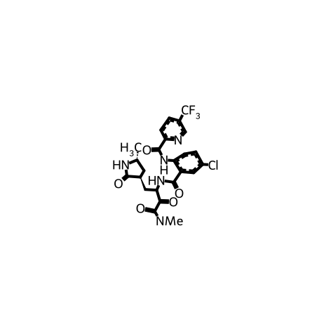 CNC(=O)C(=O)C(C[C@@H]1C[C@@H](C)NC1=O)NC(=O)c1cc(Cl)ccc1NC(=O)c1ccc(C(F)(F)F)cn1